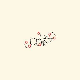 C[C@]12CC(=O)C3=C4CCC5(CC46CCC3(O6)[C@@H]1CCC21OCCO1)OCCO5